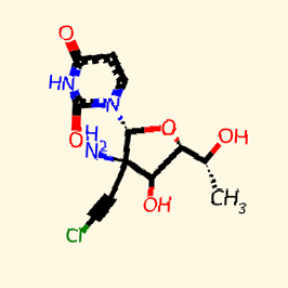 C[C@@H](O)[C@H]1O[C@@H](n2ccc(=O)[nH]c2=O)[C@@](N)(C#CCl)C1O